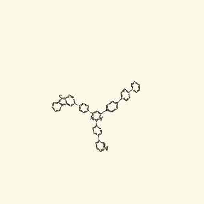 c1ccc(-c2ccc(-c3ccc(-c4cc(-c5ccc(-c6ccc7sc8ccccc8c7c6)cc5)nc(-c5ccc(-c6cccnc6)cc5)n4)cc3)cc2)cc1